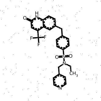 CCN(Cc1ccncc1)S(=O)(=O)c1ccc(Cc2ccc3[nH]c(=O)cc(C(F)(F)F)c3c2)cc1